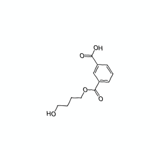 O=C(O)c1cccc(C(=O)OCCCCO)c1